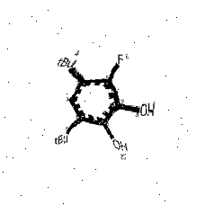 CC(C)(C)c1cc(C(C)(C)C)c(F)c(O)c1O